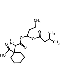 CCCC(OC(=O)CC(C)C)OC(=O)C(N)C1(C(=O)O)CCCCC1